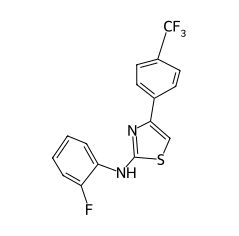 Fc1ccccc1Nc1nc(-c2ccc(C(F)(F)F)cc2)cs1